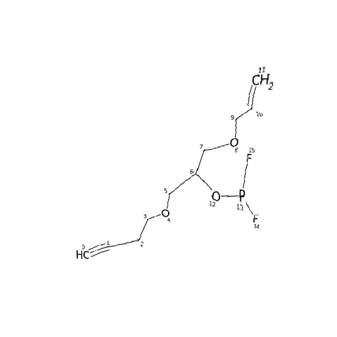 C#CCCOCC(COCC=C)OP(F)F